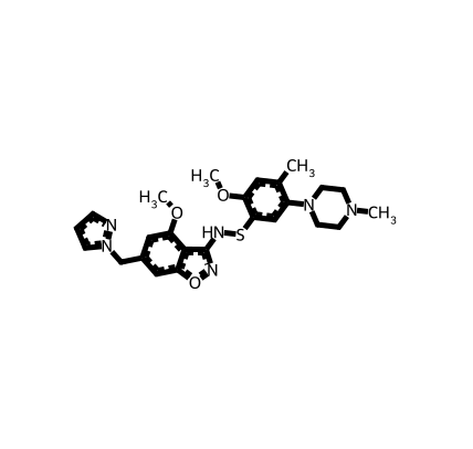 COc1cc(C)c(N2CCN(C)CC2)cc1SNc1noc2cc(Cn3cccn3)cc(OC)c12